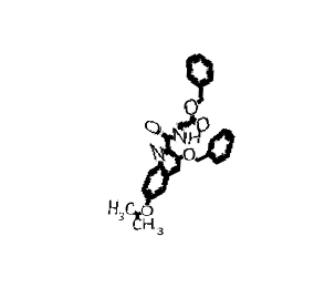 CC(C)Oc1ccc2nc(C(=O)NCC(=O)OCc3ccccc3)c(OCc3ccccc3)cc2c1